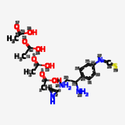 C1=CN1.CC(=O)O.CC(=O)O.CC(=O)O.CC(=O)O.NCC(N)c1ccc(N=C=S)cc1